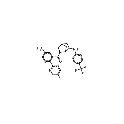 Cc1cnc(-c2ncc(F)cn2)c(C(=O)N2CC3CC(Nc4ccc(C(F)(F)F)cn4)C2C3)c1